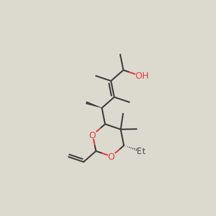 C=CC1OC([C@@H](C)/C(C)=C(\C)C(C)O)C(C)(C)[C@H](CC)O1